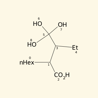 CCCCCCC(C(=O)O)C(CC)C(O)(O)O